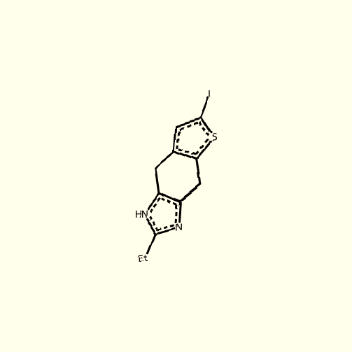 CCc1nc2c([nH]1)Cc1cc(I)sc1C2